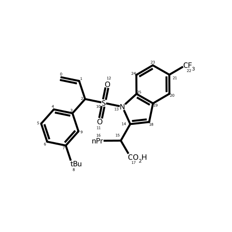 C=CC(c1cccc(C(C)(C)C)c1)S(=O)(=O)n1c(C(CCC)C(=O)O)cc2cc(C(F)(F)F)ccc21